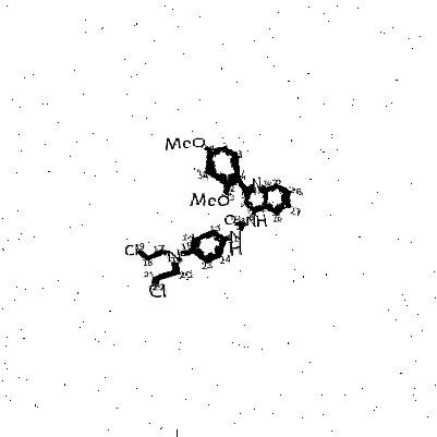 COc1ccc(-c2cc(NC(=O)Nc3ccc(N(CCCl)CCCl)cc3)c3ccccc3n2)c(OC)c1